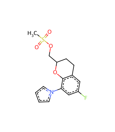 CS(=O)(=O)OCC1CCc2cc(F)cc(-n3cccc3)c2O1